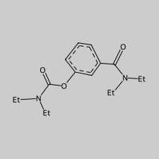 CCN(CC)C(=O)Oc1cccc(C(=O)N(CC)CC)c1